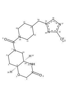 O=C1CO[C@H]2CCN(C(=O)N3CCC(Cn4cnc(C(F)(F)F)n4)CC3)C[C@H]2N1